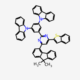 CC1(C)c2ccccc2-c2c(-c3cc(-c4cc5ccccc5s4)nc(-c4cc(-n5c6ccccc6c6ccccc65)cc(-n5c6ccccc6c6ccccc65)c4)n3)cccc21